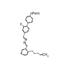 C=CCCCc1ccccc1C=NN=Cc1ccc(-c2ccc(CCCCC)cc2)c(F)c1